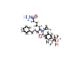 C[C@](O)(c1ccc(C(=O)N(C(CCCCC(N)=O)CCCc2ccccc2)C2CC2)cc1)C(F)(F)F